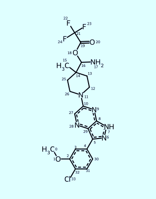 COc1cc(-c2n[nH]c3nc(N4CCC(C)(C(N)OC(=O)C(F)(F)F)CC4)cnc23)ccc1Cl